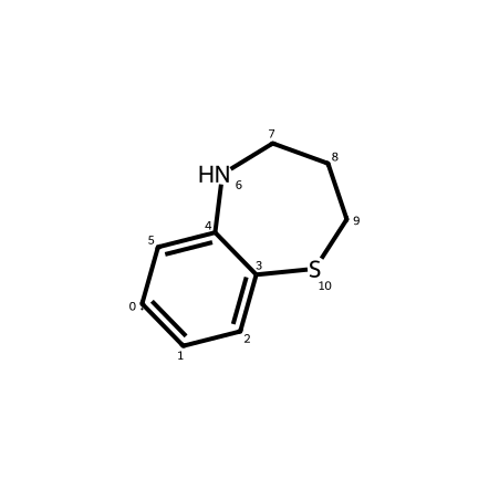 [c]1ccc2c(c1)NCCCS2